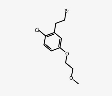 COCCOc1ccc(Cl)c(CCBr)c1